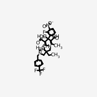 CCC(CC)(CN(C)Cc1ccc(C(F)(F)F)cc1)CN1C(C)=C(C(=O)O)C(C)(c2cccc([N+](=O)[O-])c2F)C(C(=O)O)=C1C